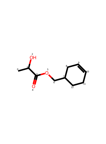 CC(O)C(=O)OCC1CC=CCC1